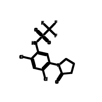 O=C1CCCN1c1cc(NS(=O)(=O)C(F)(F)F)c(Cl)cc1Cl